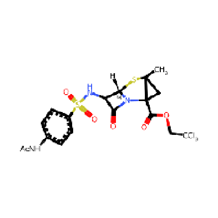 CC(=O)Nc1ccc(S(=O)(=O)NC2C(=O)N3[C@H]2SC2(C)CC32C(=O)OCC(Cl)(Cl)Cl)cc1